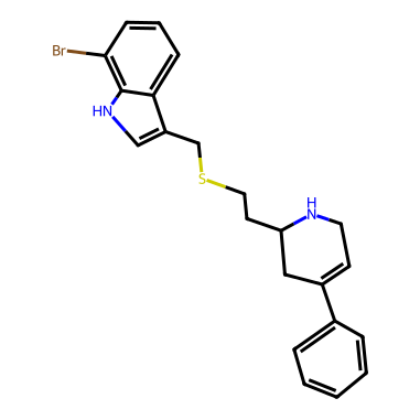 Brc1cccc2c(CSCCC3CC(c4ccccc4)=CCN3)c[nH]c12